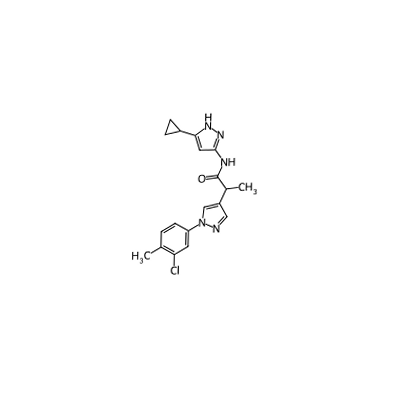 Cc1ccc(-n2cc(C(C)C(=O)Nc3cc(C4CC4)[nH]n3)cn2)cc1Cl